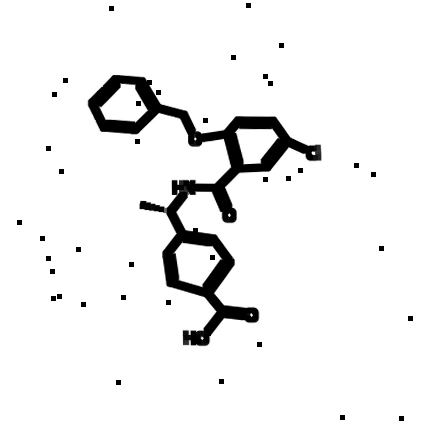 C[C@H](NC(=O)c1cc(Cl)ccc1OCc1ccccc1)c1ccc(C(=O)O)cc1